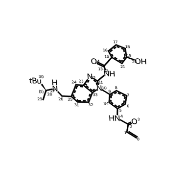 C=CC(=O)Nc1cccc(-n2c(NC(=O)c3cccc(O)c3)nc3cc(CN[C@@H](C)C(C)(C)C)ccc32)c1